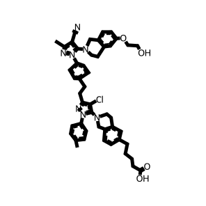 Cc1ccc(-n2nc(CCc3ccc(-n4nc(C)c(C#N)c4N4CCc5cc(OCCO)ccc5C4)cc3)c(Cl)c2N2CCc3cc(CCCCC(=O)O)ccc3C2)cc1